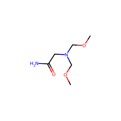 COCN(COC)CC(N)=O